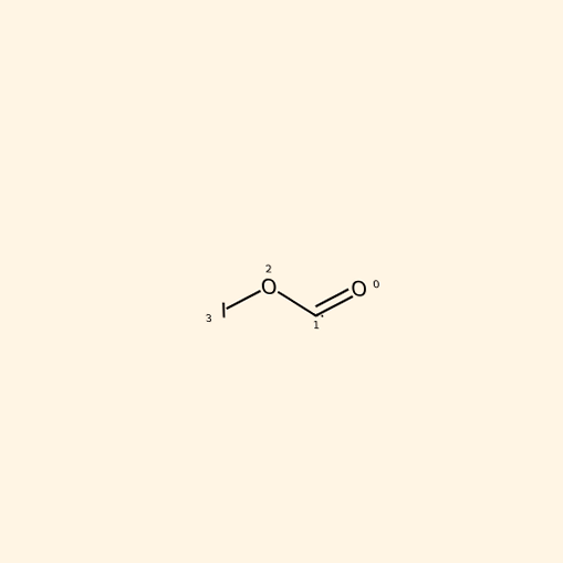 O=[C]OI